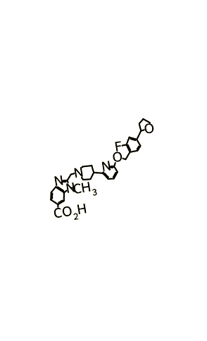 Cn1c(CN2CCC(c3cccc(OCc4ccc(C5CCCO5)cc4F)n3)CC2)nc2ccc(C(=O)O)cc21